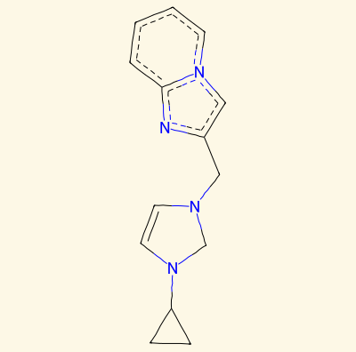 C1=CN(C2CC2)CN1Cc1cn2ccccc2n1